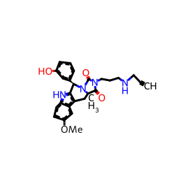 C#CCNCCCN1C(=O)N2[C@H](c3cccc(O)c3)c3[nH]c4ccc(OC)cc4c3C[C@@]2(C)C1=O